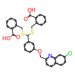 O=C(O)c1ccccc1CSC(SCc1ccccc1C(=O)O)c1cccc(OCc2ccc3ccc(Cl)cc3n2)c1